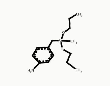 CCCO[Si](C)(Cc1ccc(N)cc1)OCCC